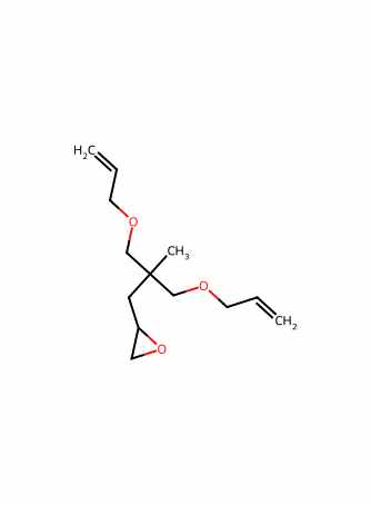 C=CCOCC(C)(COCC=C)CC1CO1